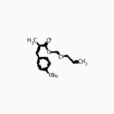 C=CCOCOC(=O)C(C)=Cc1ccc(C(C)(C)C)cc1